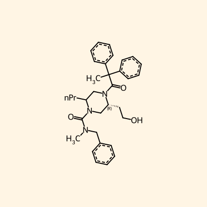 CCCC1CN(C(=O)C(C)(c2ccccc2)c2ccccc2)[C@H](CCO)CN1C(=O)N(C)Cc1ccccc1